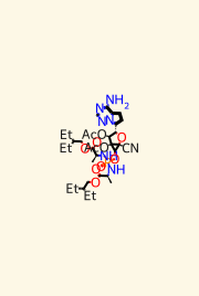 CCC(CC)COC(=O)[C@H](C)NP(=O)(N[C@@H](C)C(=O)OCC(CC)CC)OC1[C@@]2(C#N)O[C@@H](c3ccc4c(N)ncnn34)[C@H](OC(C)=O)[C@@]12OC(C)=O